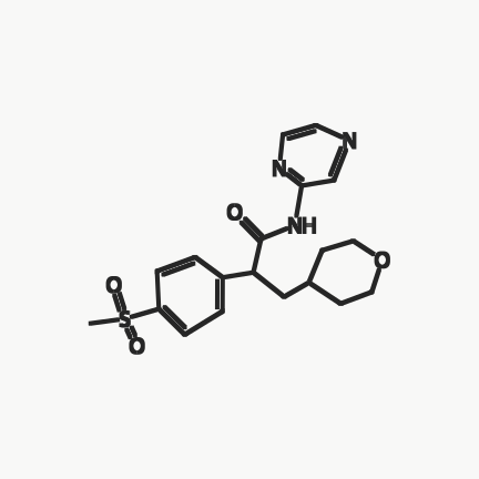 CS(=O)(=O)c1ccc(C(CC2CCOCC2)C(=O)Nc2cnccn2)cc1